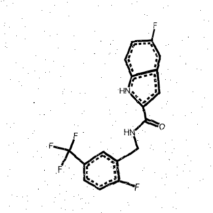 O=C(NCc1cc(C(F)(F)F)ccc1F)c1cc2cc(F)ccc2[nH]1